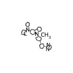 Cc1cc(-c2cccc(-c3ncccn3)c2)ccc1-n1c2ccccc2c2cc(N(c3ccccc3)c3ccccc3)ccc21